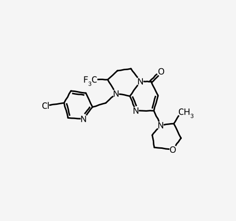 CC1COCCN1c1cc(=O)n2c(n1)N(Cc1ccc(Cl)cn1)C(C(F)(F)F)CC2